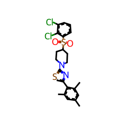 Cc1cc(C)c(-c2csc(N3CCC(S(=O)(=O)c4cccc(Cl)c4Cl)CC3)n2)c(C)c1